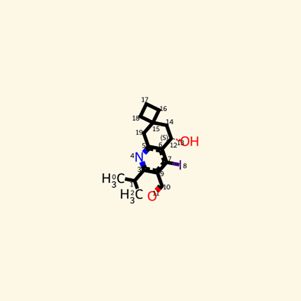 CC(C)c1nc2c(c(I)c1C=O)[C@@H](O)CC1(CCC1)C2